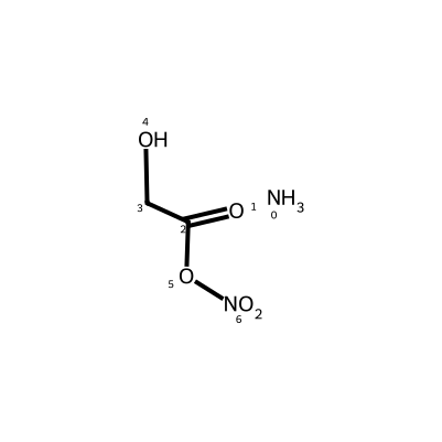 N.O=C(CO)O[N+](=O)[O-]